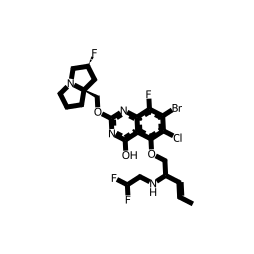 C/C=C/C(COc1c(Cl)c(Br)c(F)c2nc(OC[C@@]34CCCN3C[C@H](F)C4)nc(O)c12)NCC(F)F